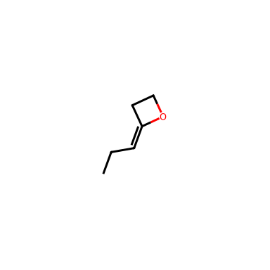 CCC=C1CCO1